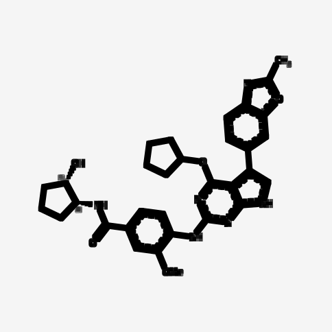 COc1cc(C(=O)N[C@@H]2CCC[C@@H]2O)ccc1Nc1nc(OC2CCCC2)c2c(-c3ccc4nc(C)oc4c3)c[nH]c2n1